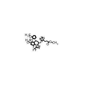 CCOC(=O)CCc1nnnn1C[C@@H]1C[C@@H](c2cccc(OC)c2OC)c2cc(Cl)ccc2-n2c1nnc2C(F)(F)F